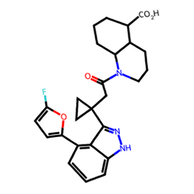 O=C(O)C1CCCC2C1CCCN2C(=O)CC1(c2n[nH]c3cccc(-c4ccc(F)o4)c23)CC1